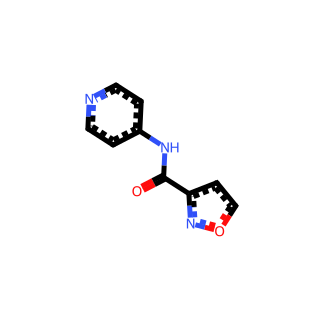 O=C(Nc1ccncc1)c1ccon1